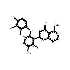 CNc1nccc2[nH]c(-c3c(Oc4ccc(F)c(F)c4C)ncc(C(F)(F)F)c3C)cc(=O)c12